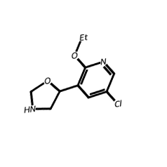 CCOc1ncc(Cl)cc1C1CNCO1